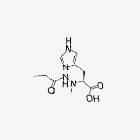 CCC(=O)NN(C)[C@@H](Cc1c[nH]cn1)C(=O)O